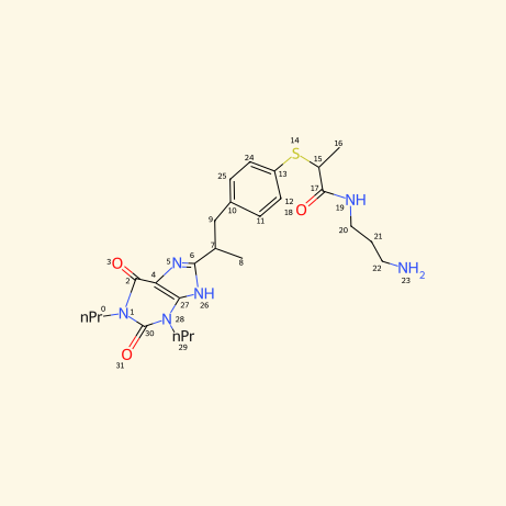 CCCn1c(=O)c2nc(C(C)Cc3ccc(SC(C)C(=O)NCCCN)cc3)[nH]c2n(CCC)c1=O